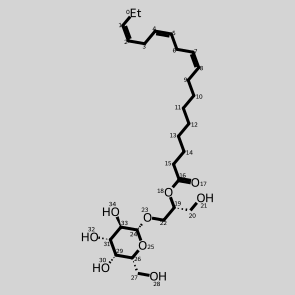 CC/C=C\C/C=C\C/C=C\CCCCCCCC(=O)O[C@H](CO)CO[C@@H]1O[C@H](CO)[C@H](O)[C@H](O)[C@H]1O